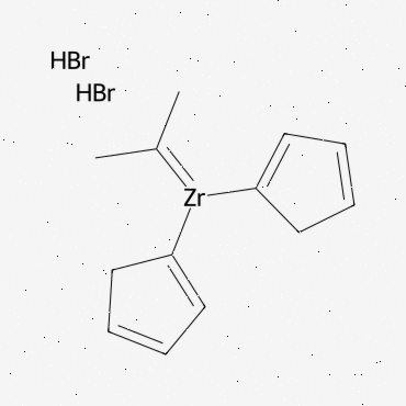 Br.Br.C[C](C)=[Zr]([C]1=CC=CC1)[C]1=CC=CC1